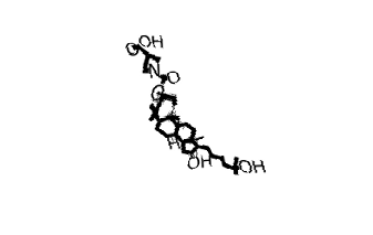 CC(C)(O)CCCCC1[C@H](O)CC2[C@@H]3CCC4C(C)(C)[C@@H](OC(=O)N5CC(C(=O)O)C5)CC[C@@]45C[C@@]35CC[C@]12C